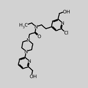 CCN(CCc1cc(Cl)nc(CO)c1)C(=O)CN1CCN(c2cccc(CO)n2)CC1